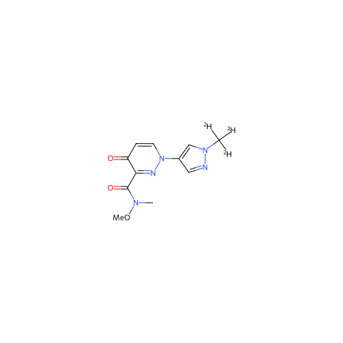 [2H]C([2H])([2H])n1cc(-n2ccc(=O)c(C(=O)N(C)OC)n2)cn1